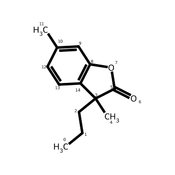 CCCC1(C)C(=O)Oc2cc(C)ccc21